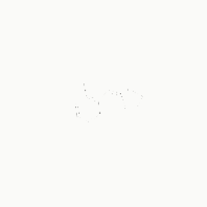 Cc1nc(C)c(N=C2NCCN2)c(Cl)n1